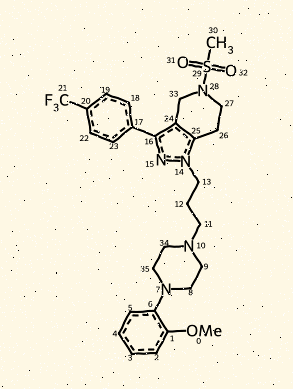 COc1ccccc1N1CCN(CCCn2nc(-c3ccc(C(F)(F)F)cc3)c3c2CCN(S(C)(=O)=O)C3)CC1